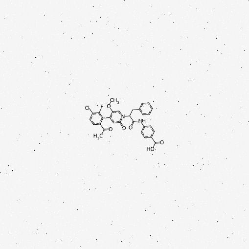 COc1cn(C(Cc2ccccc2)C(=O)Nc2ccc(C(=O)O)cc2)c(=O)cc1-c1c(C(C)=O)ccc(Cl)c1F